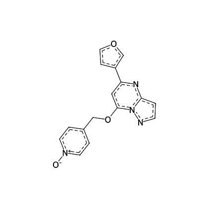 [O-][n+]1ccc(COc2cc(-c3ccoc3)nc3ccnn23)cc1